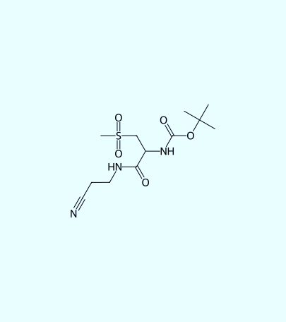 CC(C)(C)OC(=O)NC(CS(C)(=O)=O)C(=O)NCCC#N